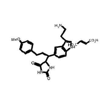 COc1ccc(CCC(c2ccc3[nH]cc(CCN)c3c2)C2NC(=O)NC2=O)cc1.O=C(O)C=CC(=O)O